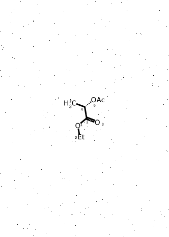 CCOC(=O)[C@H](C)OC(C)=O